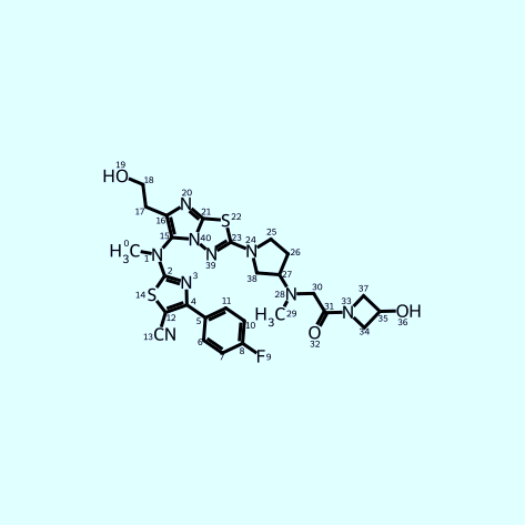 CN(c1nc(-c2ccc(F)cc2)c(C#N)s1)c1c(CCO)nc2sc(N3CCC(N(C)CC(=O)N4CC(O)C4)C3)nn12